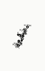 COc1cc(CN2CCN(C3CC4(CCN(c5ccc(C(=O)NS(=O)(=O)c6cnc(NC[C@H]7CC[C@](C)(O)CC7)c([NH+](C)[O-])c6)c(Oc6cc7c(nc6OC)CC=C7F)c5)CC4)C3)C(c3ccccc3C(C)C)C2)cnc1OC